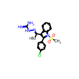 CCCCC(=NNC(=N)N)c1c(-c2ccc(Cl)cc2)n(S(C)(=O)=O)c2ccccc12